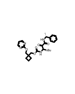 CCCCC(NC(=O)OCC1(COc2ncccn2)CCC1)C(=O)C(=O)N[C@H](C)c1ccccc1